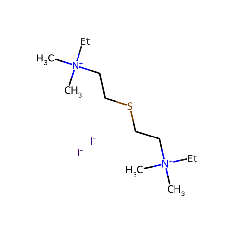 CC[N+](C)(C)CCSCC[N+](C)(C)CC.[I-].[I-]